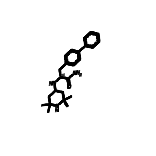 CC1(C)CC(N[C@@H](Cc2ccc(-c3ccccc3)cc2)C(N)=O)CC(C)(C)N1